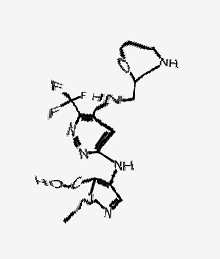 Cn1ncc(Nc2cc(NC[C@@H]3CNCCO3)c(C(F)(F)F)nn2)c1CO